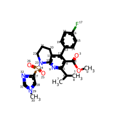 COC(=O)c1c(C(C)C)nc2c(c1-c1ccc(F)cc1)CCCN2S(=O)(=O)c1cn(C)cn1